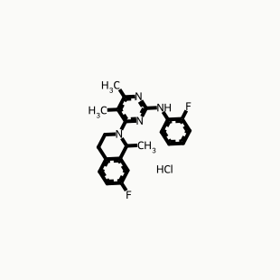 Cc1nc(Nc2ccccc2F)nc(N2CCc3ccc(F)cc3C2C)c1C.Cl